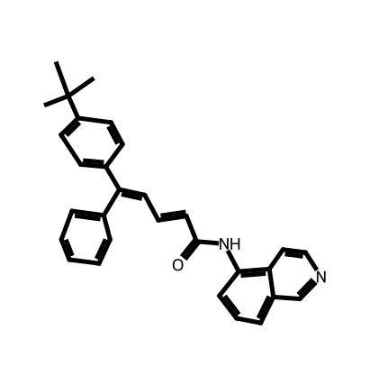 CC(C)(C)c1ccc(/C(=C/C=C/C(=O)Nc2cccc3cnccc23)c2ccccc2)cc1